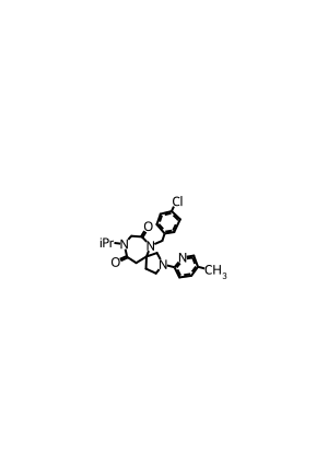 Cc1ccc(N2CCC3(CC(=O)N(C(C)C)CC(=O)N3Cc3ccc(Cl)cc3)C2)nc1